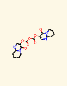 O=C(OC(=O)Oc1cnc2ccccn2c1=O)Oc1cnc2ccccn2c1=O